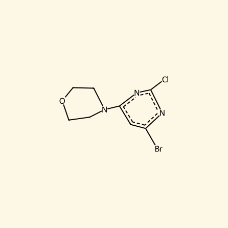 Clc1nc(Br)cc(N2CCOCC2)n1